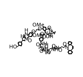 COc1cc2c(cc1OCCCOc1cc3c(cc1OC)C(=O)N1CC4(CC4)C[C@H]1C(O)N3C(=O)OCc1ccc(NC(=O)[C@H](C)NC(=O)[C@@H](NC(=O)CNC(=O)CNC(=O)CCC(=O)N3Cc4ccccc4C#Cc4ccccc43)C(C)C)cc1)NC[C@@H]1CC(c3ccc(CO)cc3)=CN1C2=O